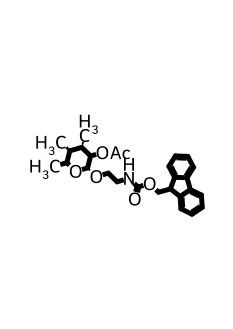 CC(=O)OC1[C@H](OCCNC(=O)OCC2c3ccccc3-c3ccccc32)OC(C)[C@@H](C)[C@@H]1C